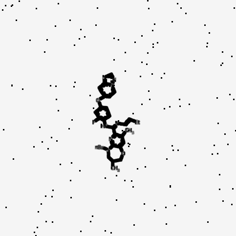 CC/C=C/N=C(/Nc1ccc(Oc2ccn3ncnc3c2)cc1F)c1nc2c(cc1C)OCC(C)CN2CCCC